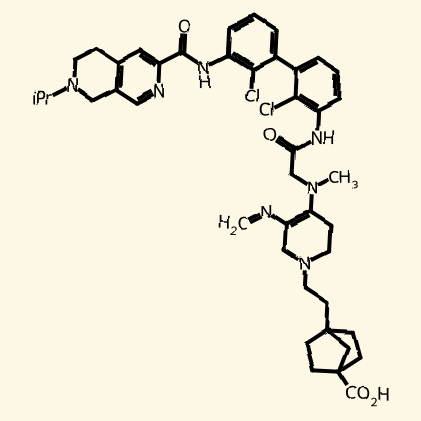 C=NC1=C(N(C)CC(=O)Nc2cccc(-c3cccc(NC(=O)c4cc5c(cn4)CN(C(C)C)CC5)c3Cl)c2Cl)CCN(CCC23CCC(C(=O)O)(CC2)C3)C1